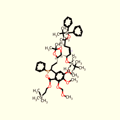 COCOc1c(OC)c(OC)cc(C(CC[C@@H]2OC(C)(C)O[C@@H]2C(/C=C\CC(C)O[Si](c2ccccc2)(c2ccccc2)C(C)(C)C)O[Si](C)(C)C(C)(C)C)Sc2ccccc2)c1C(=O)OCC[Si](C)(C)C